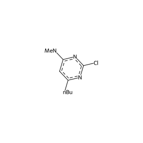 CCCCc1cc(NC)nc(Cl)n1